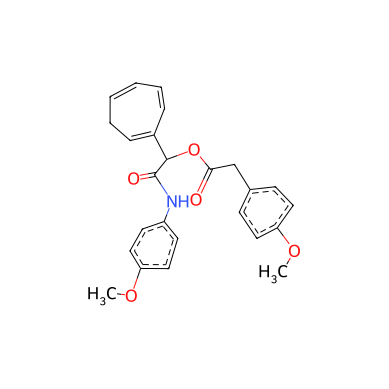 COc1ccc(CC(=O)OC(C(=O)Nc2ccc(OC)cc2)C2=CCC=CC=C2)cc1